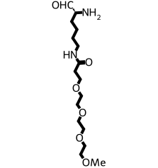 COCCOCCOCCOCCC(=O)NCCCC[C@@H](N)C=O